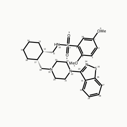 COc1ccc(OC)c(S(=O)(=O)NC[C@H]2CCCC[C@H]2CN2CCN(c3nsc4ccccc34)CC2)c1